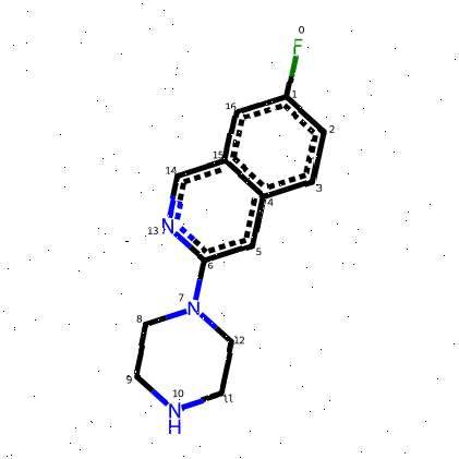 Fc1ccc2cc(N3CCNCC3)ncc2c1